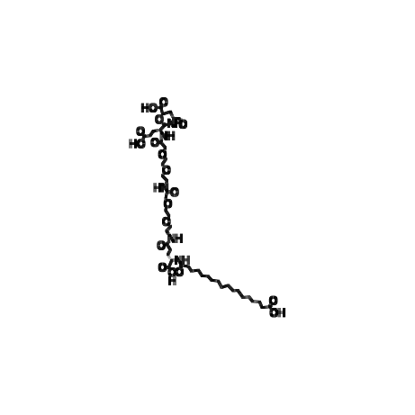 O=C[C@H](CCC(=O)O)NC(=O)[C@H](CCC(=O)O)NC(=O)COCCOCCNC(=O)COCCOCCNC(=O)CC[C@H](NC(=O)CCCCCCCCCCCCCCCCC(=O)O)C(=O)O